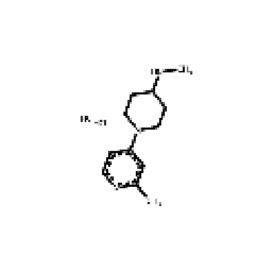 CNC1CCN(c2ccnc(C)c2)CC1.Cl.Cl